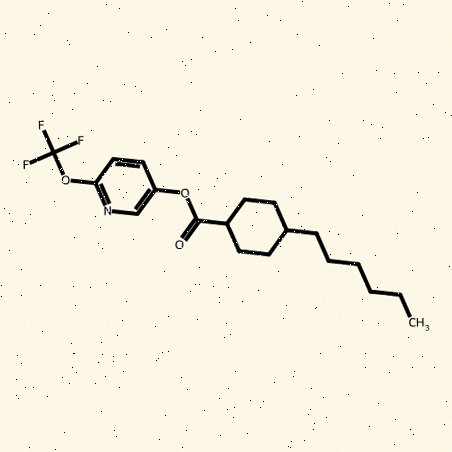 CCCCCCC1CCC(C(=O)Oc2ccc(OC(F)(F)F)nc2)CC1